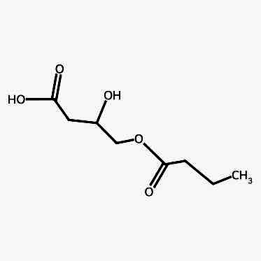 CCCC(=O)OCC(O)CC(=O)O